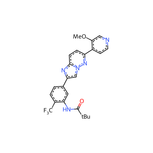 COc1cnccc1-c1ccc2nc(-c3ccc(C(F)(F)F)c(NC(=O)C(C)(C)C)c3)cn2n1